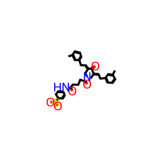 Cc1cccc(C/C=C2\CN(C(=O)CCCC(=O)NC3=CCC(=S(=O)=O)C=C3)C/C(=C\Cc3cccc(C)c3)C2=O)c1